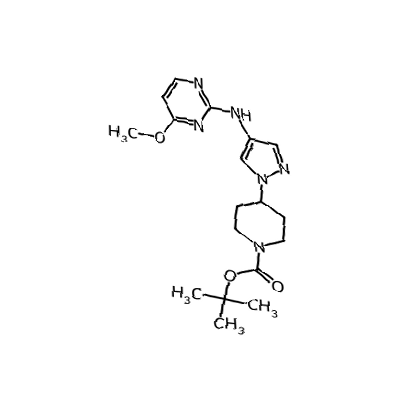 COc1ccnc(Nc2cnn(C3CCN(C(=O)OC(C)(C)C)CC3)c2)n1